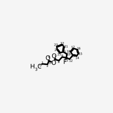 CCCC(=O)OC(=O)CCC(F)(Cc1ccccc1)Cc1ccccc1